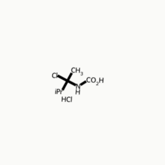 CC(C)C(C)(Cl)NC(=O)O.Cl